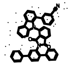 N#Cc1cccc(-c2cccc3c4ccccc4n(-c4cccc5c4C(=O)N(c4cc(-c6ccccc6)ccc4-c4ccccc4)C5=O)c23)c1